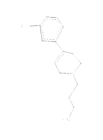 NCCCN1CC=C(c2cccc(C(F)(F)F)c2)CC1